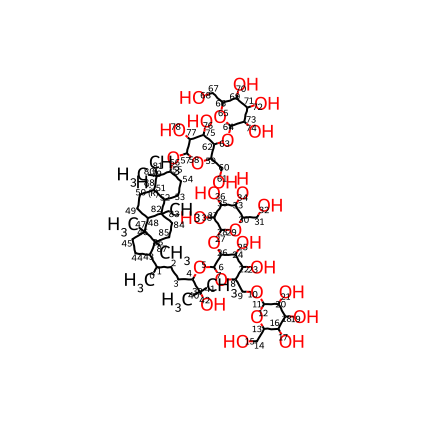 CC(CCC(OC1OC(COC2OC(CO)C(O)C(O)C2O)C(O)C(O)C1OC1OC(CO)C(O)C(O)C1O)C(C)(C)O)C1CCC2(C)C3CC[C@@H]4C(CCC(OC5OC(CO)C(OC6OC(CO)C(O)C(O)C6O)C(O)C5O)C4(C)C)C3(C)CCC12C